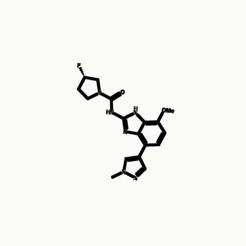 COc1ccc(-c2cnn(C)c2)c2nc(NC(=O)N3CC[C@H](F)C3)[nH]c12